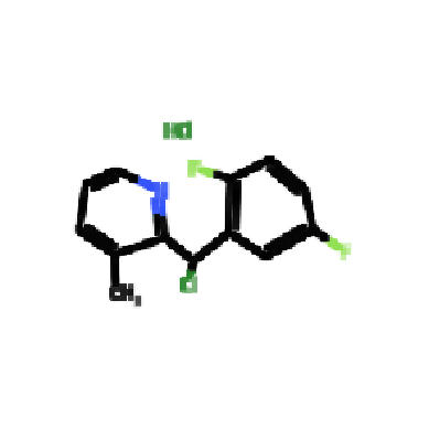 Cc1cccnc1C(Cl)c1cc(F)ccc1F.Cl